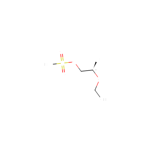 CCO[C@H](C)COS(C)(=O)=O